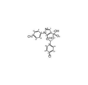 O=P(O)(O)c1cnn(-c2ccc(Cl)cc2)c1OCc1ccc(Cl)cc1